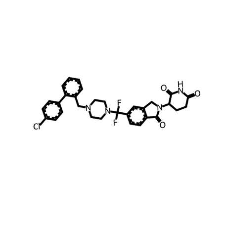 O=C1CCC(N2Cc3cc(C(F)(F)N4CCN(Cc5ccccc5-c5ccc(Cl)cc5)CC4)ccc3C2=O)C(=O)N1